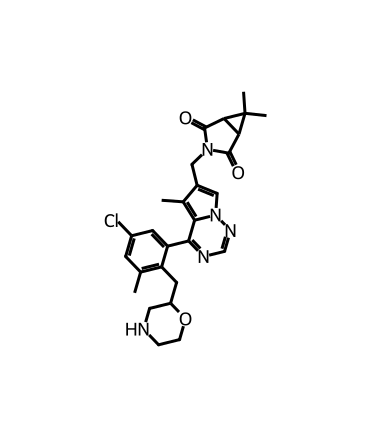 Cc1cc(Cl)cc(-c2ncnn3cc(CN4C(=O)C5C(C4=O)C5(C)C)c(C)c23)c1CC1CNCCO1